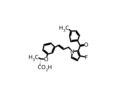 Cc1ccc(C(=O)c2c(F)ccn2C/C=C/c2cccc(O[C@@H](C)C(=O)O)c2)cc1